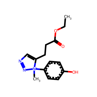 CCOC(=O)CCC1=CN=N[N+]1(C)c1ccc(O)cc1